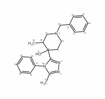 Cc1nnc(C2(O)CCN(Cc3ccccc3)CC2C)n1-c1ccccc1